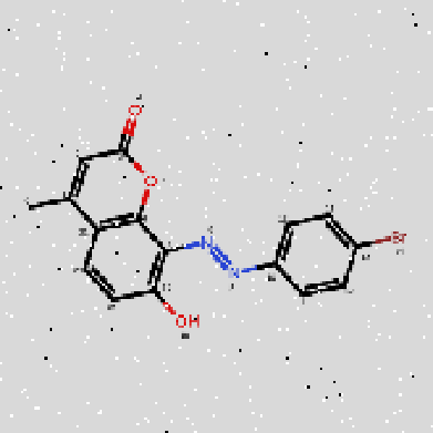 Cc1cc(=O)oc2c(N=Nc3ccc(Br)cc3)c(O)ccc12